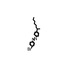 CCCCCCC(C)c1ccc(N=Nc2ccc(Br)cc2)cc1